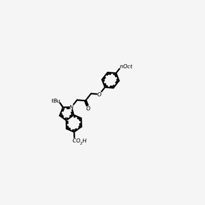 CCCCCCCCc1ccc(OCC(=O)Cn2c(C(C)(C)C)cc3cc(C(=O)O)ccc32)cc1